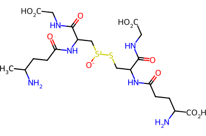 CC(N)CCC(=O)NC(C[S+]([O-])SCC(NC(=O)CCC(N)C(=O)O)C(=O)NCC(=O)O)C(=O)NCC(=O)O